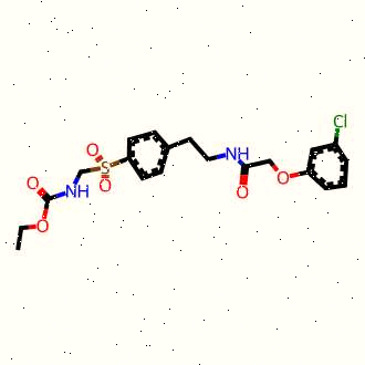 CCOC(=O)NCS(=O)(=O)c1ccc(CCNC(=O)COc2cccc(Cl)c2)cc1